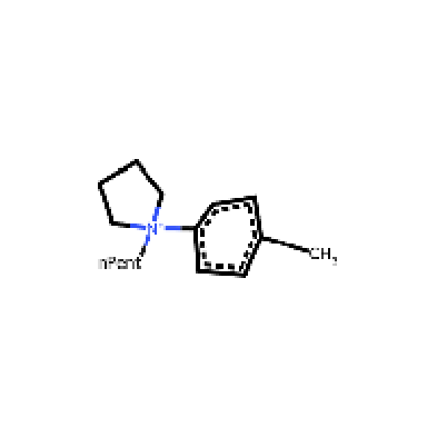 CCCCC[N+]1(c2ccc(C)cc2)CCCC1